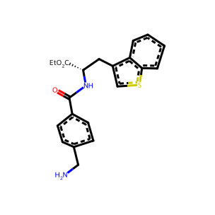 CCOC(=O)[C@H](Cc1csc2ccccc12)NC(=O)c1ccc(CN)cc1